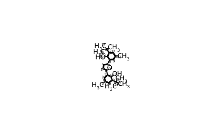 Cc1cc(-c2ccc(-c3cc(C)cc(C(C)(C)C)c3O)o2)c(O)c(C(C)(C)C)c1